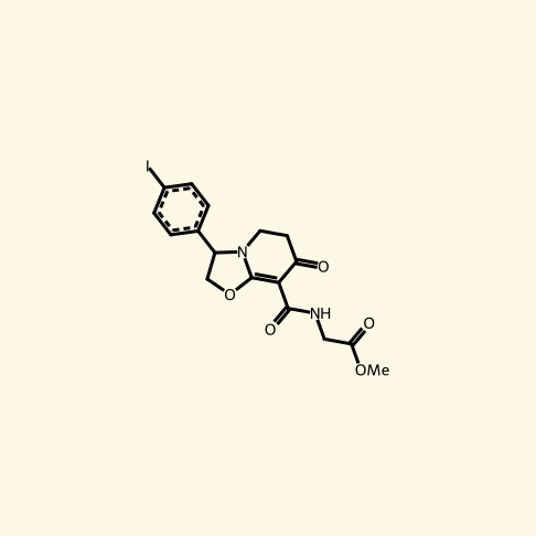 COC(=O)CNC(=O)C1=C2OCC(c3ccc(I)cc3)N2CCC1=O